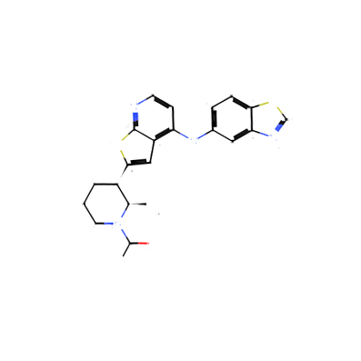 CC(O)N1CCC[C@@H](c2cc3c(Nc4ccc5scnc5c4)ccnc3s2)[C@H]1C